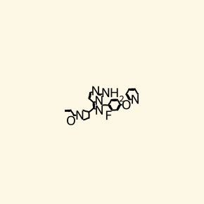 C=CC(=O)N1CCC(c2nc(-c3ccc(Oc4ccccn4)cc3F)n3c(N)nccc23)C1